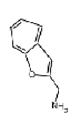 NCc1cc2ccccc2o1